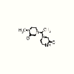 C[C](N1CCNC(=O)C1)N1CCN(C)C(=O)C1